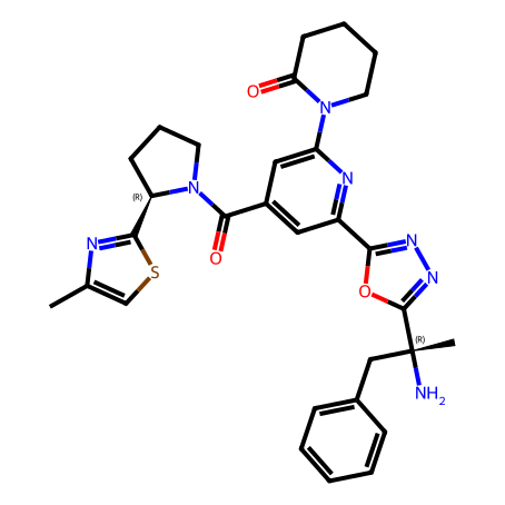 Cc1csc([C@H]2CCCN2C(=O)c2cc(-c3nnc([C@](C)(N)Cc4ccccc4)o3)nc(N3CCCCC3=O)c2)n1